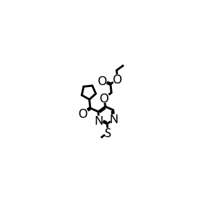 CCOC(=O)COc1cnc(SC)nc1C(=O)C1CCCC1